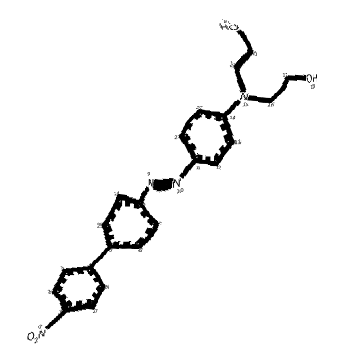 O=[N+]([O-])c1ccc(-c2ccc(N=Nc3ccc(N(CCO)CCO)cc3)cc2)cc1